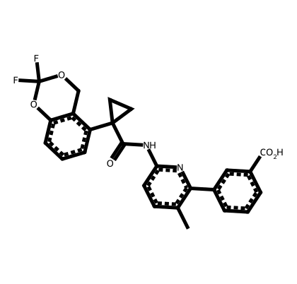 Cc1ccc(NC(=O)C2(c3cccc4c3COC(F)(F)O4)CC2)nc1-c1cccc(C(=O)O)c1